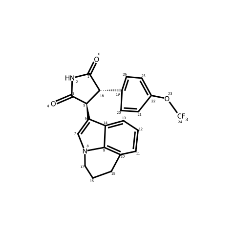 O=C1NC(=O)[C@H](c2cn3c4c(cccc24)CCC3)[C@H]1c1ccc(OC(F)(F)F)cc1